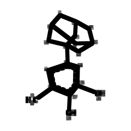 Cc1cc(C23CC4CC(CC(C4)C2)C3)cc(O)c1O